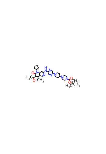 CC(=O)c1c(C)c2cnc(Nc3cnc(N4CCC(N5CCN(C(=O)OC(C)(C)C)CC5)CC4)cn3)cc2n(C2CCCC2)c1=O